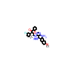 CCOc1ccc2cc(C(=N)c3c(N)ncnc3NC(C)c3oc4ccccc4c(=O)c3-c3cccc(F)c3)ccc2c1